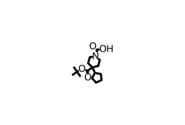 CC(C)(C)OC(=O)C1(C2CCCC2)CCN(C(=O)O)CC1